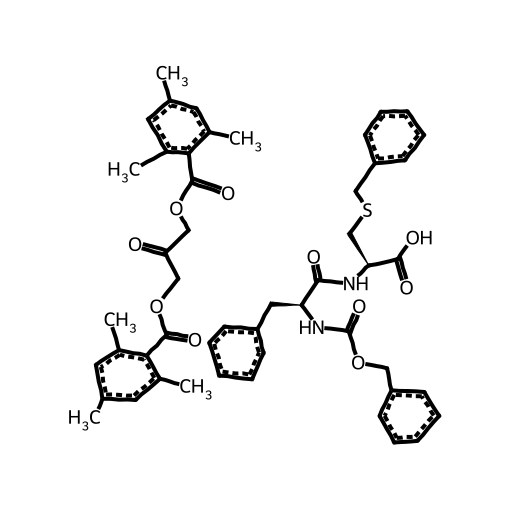 Cc1cc(C)c(C(=O)OCC(=O)COC(=O)c2c(C)cc(C)cc2C)c(C)c1.O=C(N[C@@H](Cc1ccccc1)C(=O)N[C@@H](CSCc1ccccc1)C(=O)O)OCc1ccccc1